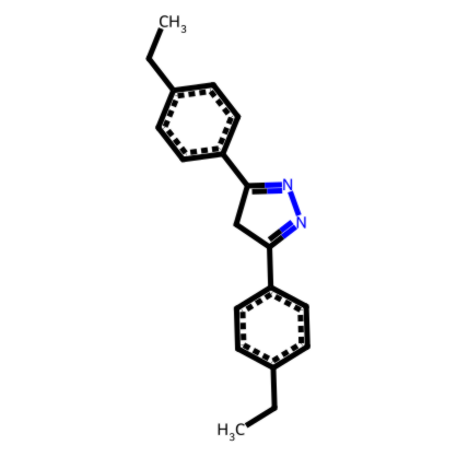 CCc1ccc(C2=NN=C(c3ccc(CC)cc3)C2)cc1